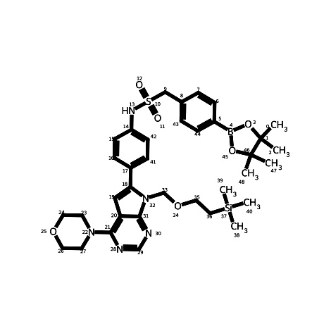 CC1(C)OB(c2ccc(CS(=O)(=O)Nc3ccc(-c4cc5c(N6CCOCC6)ncnc5n4COCC[Si](C)(C)C)cc3)cc2)OC1(C)C